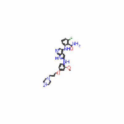 COc1cc(OCCCN2CCN(C)CC2)ccc1Nc1cc2c(Nc3cccc(F)c3C(N)=O)cncc2[nH]1